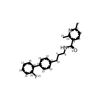 Cc1ccc(C(=O)NCCCc2ccc(-c3ccccc3F)cc2)c(C)n1